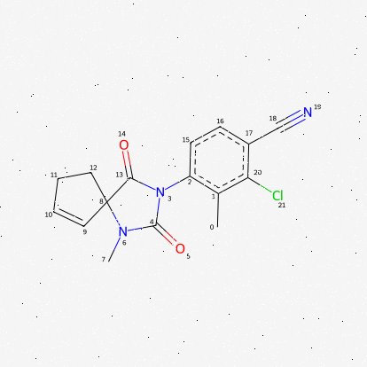 Cc1c(N2C(=O)N(C)C3(C=CCC3)C2=O)ccc(C#N)c1Cl